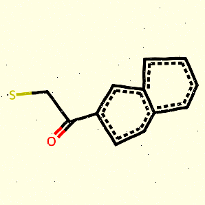 O=C(C[S])c1ccc2ccccc2c1